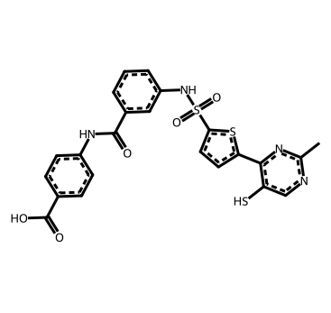 Cc1ncc(S)c(-c2ccc(S(=O)(=O)Nc3cccc(C(=O)Nc4ccc(C(=O)O)cc4)c3)s2)n1